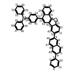 c1ccc(-c2ccc3cc(-c4ccc5oc6c7ccccc7c(-c7ccc(N(c8ccccc8)c8ccccc8)cc7)cc6c5c4)ccc3c2)cc1